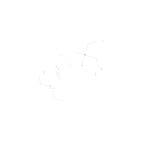 CCN(C=NS(=O)(=O)CC(CC)(CC)CO)CC